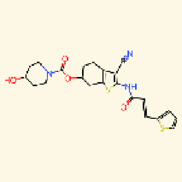 N#Cc1c(NC(=O)C=Cc2cccs2)sc2c1CCC(OC(=O)N1CCC(O)CC1)C2